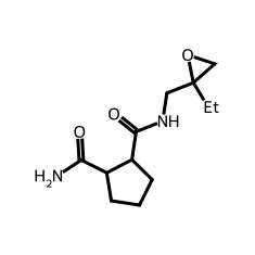 CCC1(CNC(=O)C2CCCC2C(N)=O)CO1